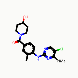 CNc1nc(Nc2ccc(C(=O)N3CCC(O)CC3)cc2C)ncc1Cl